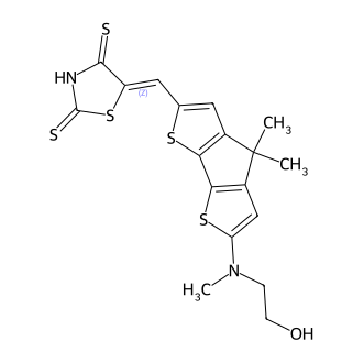 CN(CCO)c1cc2c(s1)-c1sc(/C=C3\SC(=S)NC3=S)cc1C2(C)C